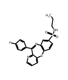 CCCNS(=O)(=O)c1ccc2c(c1)N=C(c1ccc(F)cc1)c1ncccc1S2